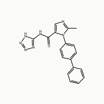 Cc1ncc(C(=O)Nc2nnn[nH]2)n1-c1ccc(-c2ccccc2)cc1